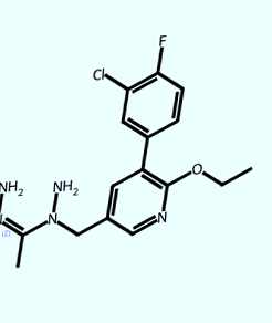 CCOc1ncc(CN(N)/C(C)=N\N)cc1-c1ccc(F)c(Cl)c1